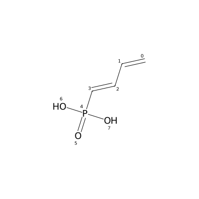 C=C/C=C/P(=O)(O)O